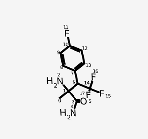 CC(N)(C(N)=O)C(c1ccc(F)cc1)C(F)(F)F